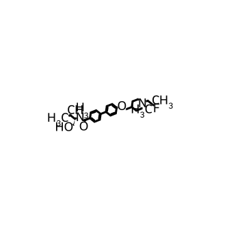 CC(C)[C@@H](CO)NC(=O)c1ccc(-c2ccc(OCC3CCN(CC(C)(C)F)CC3)cc2)cc1